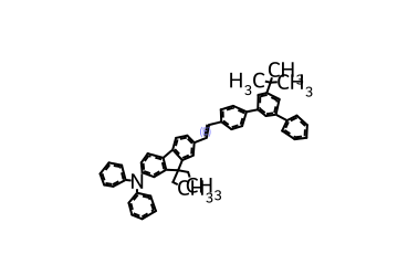 CCC1(CC)c2cc(/C=C/c3ccc(-c4cc(-c5ccccc5)cc(C(C)(C)C)c4)cc3)ccc2-c2ccc(N(c3ccccc3)c3ccccc3)cc21